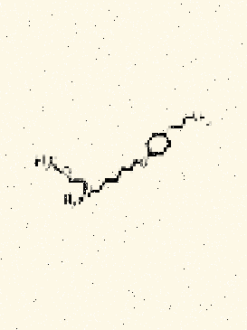 CCOCCN(C)CCCCCCO[C@H]1CC[C@H](CCCN)CC1